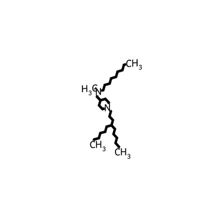 CCCCCCCCCN(C)CC1CCN(CCCC(CCCCCC)CCCCCC)CC1